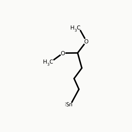 COC(CC[CH2][Sn])OC